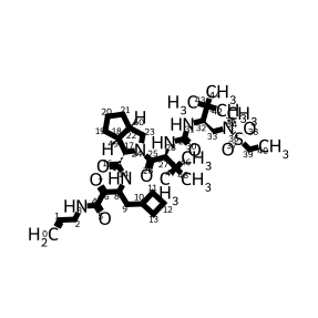 C=CCNC(=O)C(=O)C(CC1CCC1)NC(=O)[C@@H]1[C@H]2CCC[C@H]2CN1C(=O)[C@@H](NC(=O)N[C@H](CN(C)S(=O)(=O)CC)C(C)(C)C)C(C)(C)C